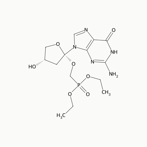 CCOP(=O)(CO[C@]1(n2cnc3c(=O)[nH]c(N)nc32)C[C@H](O)CO1)OCC